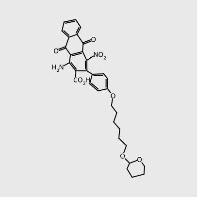 Nc1c2c(c([N+](=O)[O-])c(-c3ccc(OCCCCCCOC4CCCCO4)cc3)c1C(=O)O)C(=O)c1ccccc1C2=O